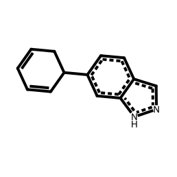 C1=CCC(c2ccc3cn[nH]c3c2)C=C1